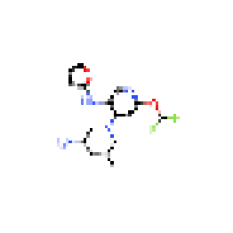 CC1CC(N)CN(c2cc(OC(F)F)ncc2Nc2ccco2)C1